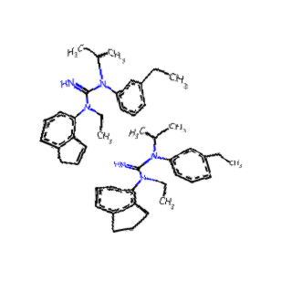 CCc1cccc(N(C(=N)N(CC)c2cccc3c2C=CC3)C(C)C)c1.CCc1cccc(N(C(=N)N(CC)c2cccc3c2CCC3)C(C)C)c1